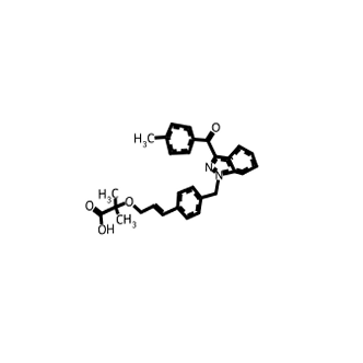 Cc1ccc(C(=O)c2nn(Cc3ccc(C=CCOC(C)(C)C(=O)O)cc3)c3ccccc23)cc1